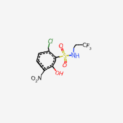 O=[N+]([O-])c1ccc(Cl)c(S(=O)(=O)NCC(F)(F)F)c1O